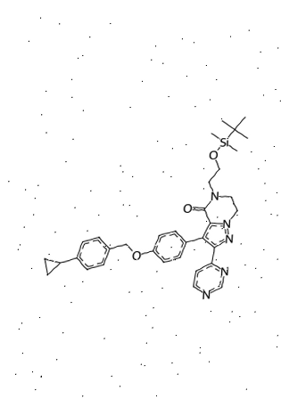 CC(C)(C)[Si](C)(C)OCCN1CCn2nc(-c3ccncn3)c(-c3ccc(OCc4ccc(C5CC5)cc4)cc3)c2C1=O